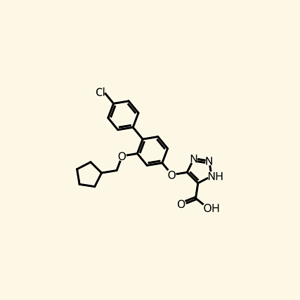 O=C(O)c1[nH]nnc1Oc1ccc(-c2ccc(Cl)cc2)c(OCC2CCCC2)c1